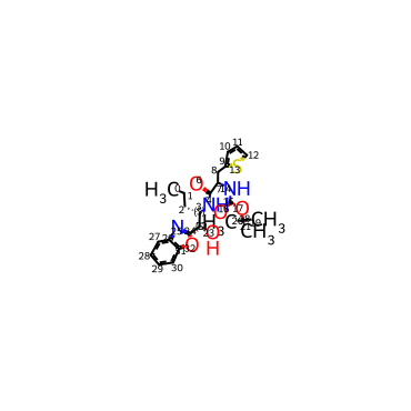 CCC[C@H](NC(=O)C(Cc1cccs1)NC(=O)OC(C)(C)C)[C@H](O)c1nc2ccccc2o1